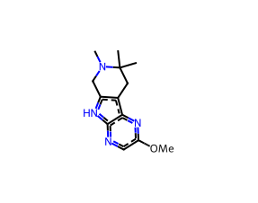 COc1cnc2[nH]c3c(c2n1)CC(C)(C)N(C)C3